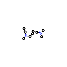 c1ccc(-c2ccc(-c3nc(-c4ccccc4)nc(-c4cccc(-c5ccc6c(-c7ccc(-c8nc(-c9ccccc9)nc(-c9ccccc9)n8)cc7)cccc6c5)c4)n3)cc2)cc1